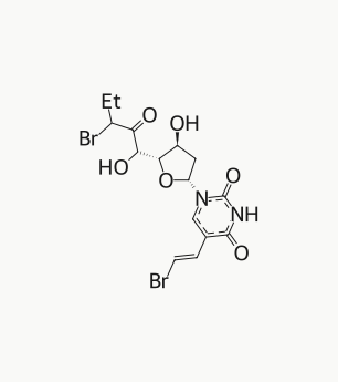 CCC(Br)C(=O)C(O)[C@H]1O[C@@H](n2cc(/C=C/Br)c(=O)[nH]c2=O)C[C@@H]1O